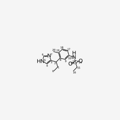 CCC(c1c[nH]cn1)c1cc(NS(=O)(=O)CC)ccc1C